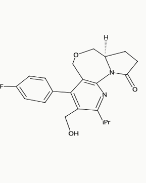 CC(C)c1nc2c(c(-c3ccc(F)cc3)c1CO)COC[C@H]1CCC(=O)N21